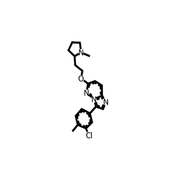 Cc1ccc(-c2cnc3ccc(OCCC4CCCN4C)nn23)cc1Cl